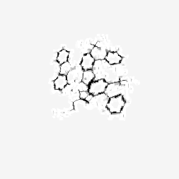 CCCC1=Cc2c(ccc(C(C)(C)C)c2-c2ccccc2)[CH]1[Zr]([Cl])([Cl])([c]1cccc2c1[SiH2]c1ccccc1-2)[CH]1C(CCC)=Cc2c1ccc(C(C)(C)C)c2-c1ccccc1